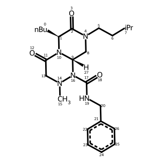 CCCC[C@H]1C(=O)N(CCC(C)C)C[C@H]2N1C(=O)CN(C)N2C(=O)NCc1ccccc1